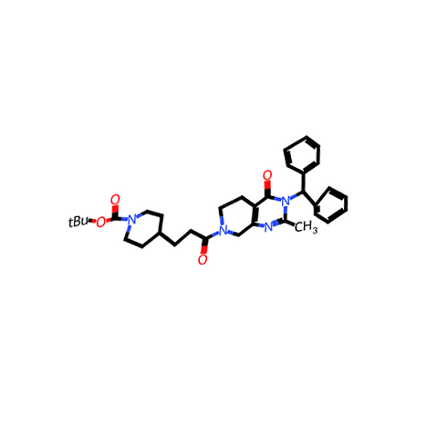 Cc1nc2c(c(=O)n1C(c1ccccc1)c1ccccc1)CCN(C(=O)CCC1CCN(C(=O)OC(C)(C)C)CC1)C2